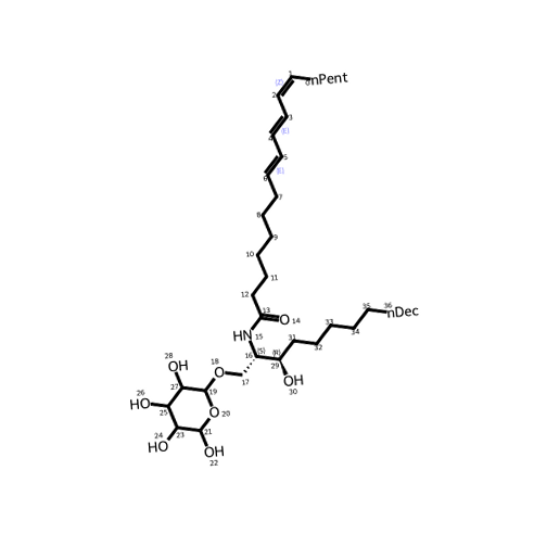 CCCCC\C=C/C=C/C=C/CCCCCCC(=O)N[C@@H](COC1OC(O)C(O)C(O)C1O)[C@H](O)CCCCCCCCCCCCCCC